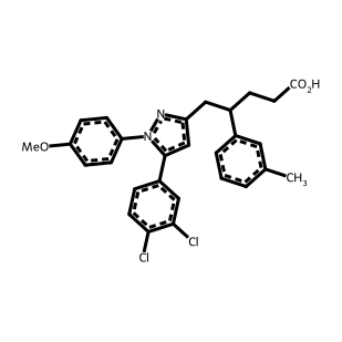 COc1ccc(-n2nc(CC(CCC(=O)O)c3cccc(C)c3)cc2-c2ccc(Cl)c(Cl)c2)cc1